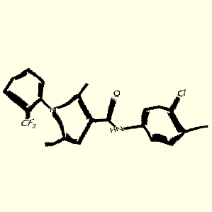 Cc1ccc(NC(=O)c2cc(C)n(-c3ccccc3C(F)(F)F)c2C)cc1Cl